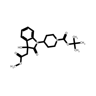 COC(=O)CC1(O)C(=O)N(C2CCN(C(=O)OC(C)(C)C)CC2)c2ccccc21